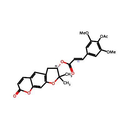 COc1cc(/C=C/C(=O)O[C@H]2Cc3cc4ccc(=O)oc4cc3OC2(C)C)cc(OC)c1OC(C)=O